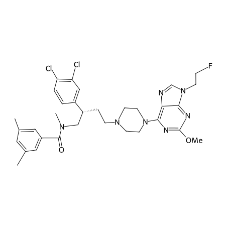 COc1nc(N2CCN(CC[C@H](CN(C)C(=O)c3cc(C)cc(C)c3)c3ccc(Cl)c(Cl)c3)CC2)c2ncn(CCF)c2n1